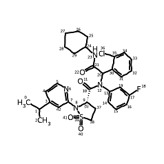 CC(C)c1ccnc(N2[C@H](C(=O)N(c3cccc(F)c3)C(C(=O)NC3CCCCC3)c3ccccc3Cl)CCS2(=O)=O)c1